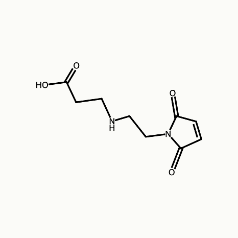 O=C(O)CCNCCN1C(=O)C=CC1=O